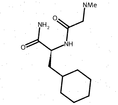 CNCC(=O)N[C@@H](CC1CCCCC1)C(N)=O